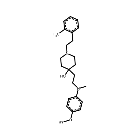 CC(C)Oc1ccc(N(C)CCC2(O)CCN(CCc3ccccc3C(F)(F)F)CC2)cc1